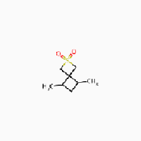 CC1CC(C)C12CS(=O)(=O)C2